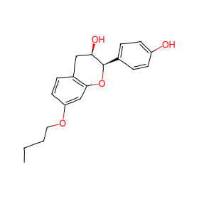 CCCCOc1ccc2c(c1)O[C@H](c1ccc(O)cc1)[C@H](O)C2